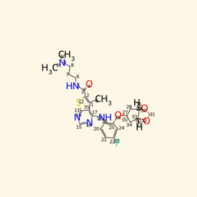 Cc1c(C(=O)NCCCN(C)C)sc2ncnc(Nc3ccc(F)cc3O[C@H]3C[C@@H]4OCO[C@@H]4C3)c12